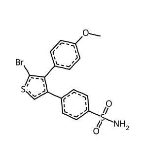 COc1ccc(-c2c(-c3ccc(S(N)(=O)=O)cc3)csc2Br)cc1